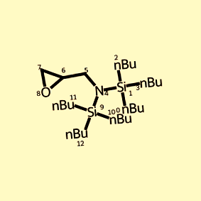 CCCC[Si](CCCC)(CCCC)N(CC1CO1)[Si](CCCC)(CCCC)CCCC